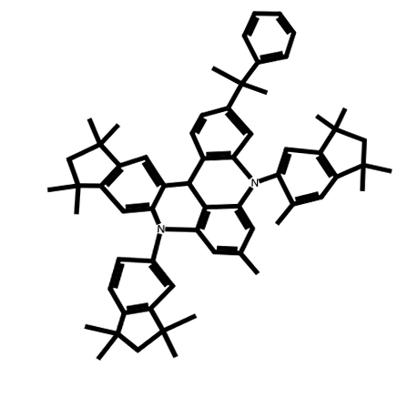 Cc1cc2c3c(c1)N(c1cc4c(cc1C)C(C)(C)CC4(C)C)c1cc(C(C)(C)c4ccccc4)ccc1C3c1cc3c(cc1N2c1ccc2c(c1)C(C)(C)CC2(C)C)C(C)(C)CC3(C)C